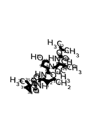 C=CC1CC1(NC(=O)C1CC(O)CN1C(=O)[C@@H](NC(=O)OC(C)C)C(C)(C)C)C(=O)NS(=O)(=O)C1(CC)CC1